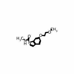 CNC(=O)n1ccc2ccc(OCCOC)cc21